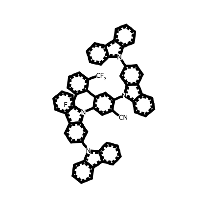 N#Cc1cc(-n2c3ccccc3c3ccc(-n4c5ccccc5c5ccccc54)cc32)c(-c2c(C(F)(F)F)cccc2C(F)(F)F)cc1-n1c2ccccc2c2ccc(-n3c4ccccc4c4ccccc43)cc21